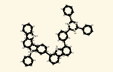 c1ccc(-c2nc(-c3ccccc3)nc(-c3cccc(-c4cccc5c4oc4c(-c6ccc7c8c9oc%10ccccc%10c9ccc8n(-c8ccccc8)c7c6)cccc45)c3)n2)cc1